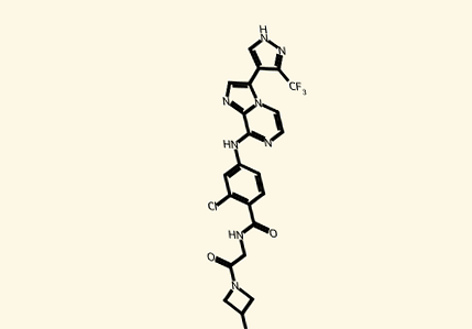 NC1CN(C(=O)CNC(=O)c2ccc(Nc3nccn4c(-c5c[nH]nc5C(F)(F)F)cnc34)cc2Cl)C1